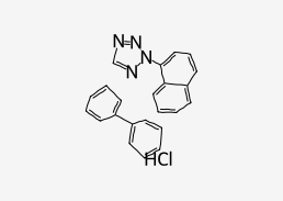 Cl.c1ccc(-c2ccccc2)cc1.c1ccc2c(-n3ncnn3)cccc2c1